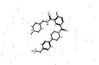 Cc1ccc(C(=O)N2CCC(c3ccc(CN)cc3)CC2)cc1C(=O)NCC1CCN(C)CC1